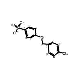 O=S(=O)(Cl)c1ccc(OCc2ccc(Cl)cc2)cc1